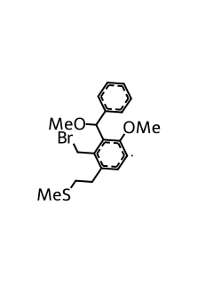 COc1[c]cc(CCSC)c(CBr)c1C(OC)c1ccccc1